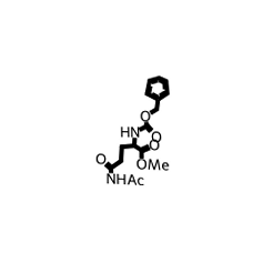 COC(=O)C(CCC(=O)NC(C)=O)NC(=O)OCc1ccccc1